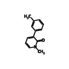 Cc1cccc(-c2cccn(C)c2=O)c1